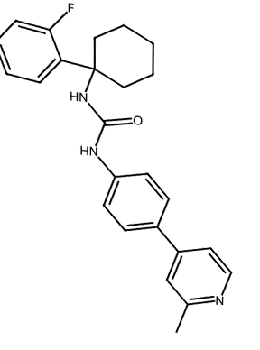 Cc1cc(-c2ccc(NC(=O)NC3(c4ccccc4F)CCCCC3)cc2)ccn1